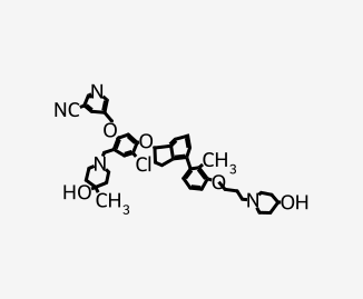 Cc1c(OCCCN2CCC(O)CC2)cccc1-c1cccc2c1CC[C@@H]2Oc1cc(OCc2cncc(C#N)c2)c(CN2CCC(C)(O)CC2)cc1Cl